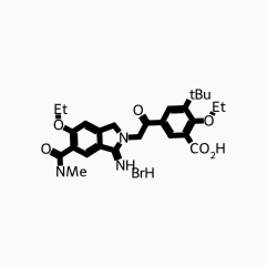 Br.CCOc1cc2c(cc1C(=O)NC)C(=N)N(CC(=O)c1cc(C(=O)O)c(OCC)c(C(C)(C)C)c1)C2